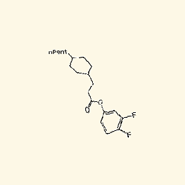 CCCCCC1CCC(CCC(=O)Oc2ccc(F)c(F)c2)CC1